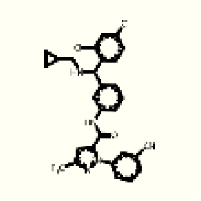 N#Cc1cccc(-n2nc(C(F)(F)F)cc2C(=O)Nc2cccc(C(NCC3CC3)c3ccc(Cl)cc3Cl)c2)c1